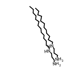 CCCCCCCCCCCCCCNCCCN.CCCCCCCCCCCCNCCCN